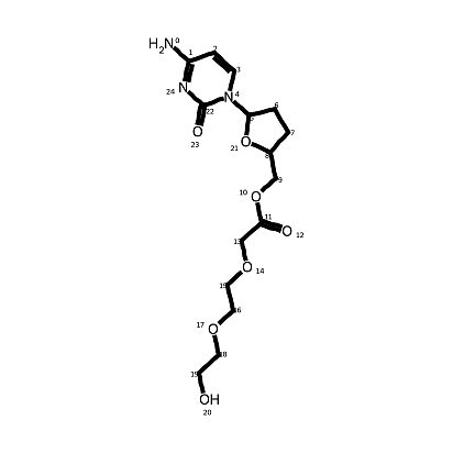 Nc1ccn(C2CCC(COC(=O)COCCOCCO)O2)c(=O)n1